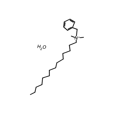 CCCCCCCCCCCCCC[N+](C)(C)Cc1ccccc1.O